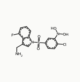 NCc1cn(S(=O)(=O)c2ccc(Cl)c(N(O)O)c2)c2cccc(F)c12